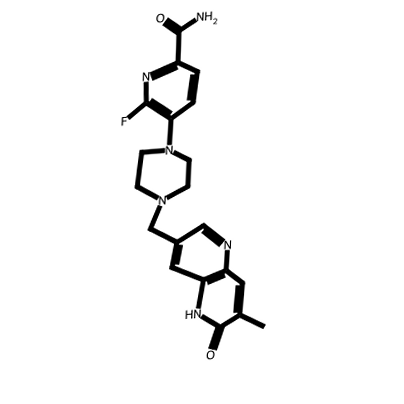 Cc1cc2ncc(CN3CCN(c4ccc(C(N)=O)nc4F)CC3)cc2[nH]c1=O